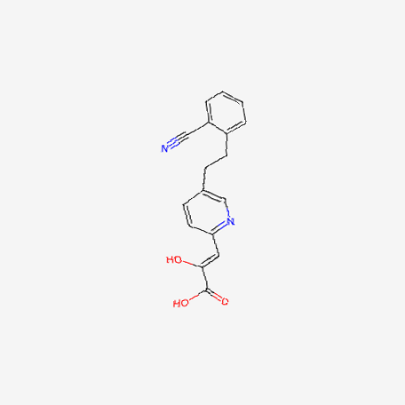 N#Cc1ccccc1CCc1ccc(/C=C(\O)C(=O)O)nc1